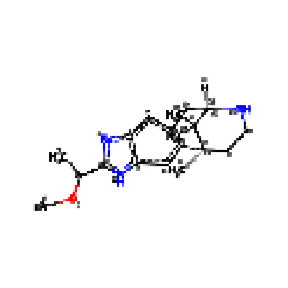 CCCOC(C)c1nc2cc3c(cc2[nH]1)[C@]1(C)CCN[C@H](C3)C1(C)C